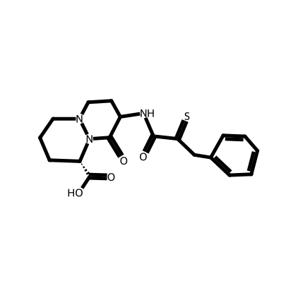 O=C(NC1CCN2CCC[C@@H](C(=O)O)N2C1=O)C(=S)Cc1ccccc1